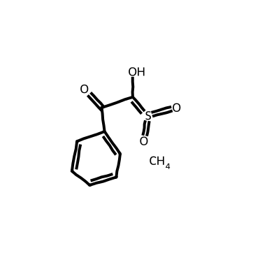 C.O=C(C(O)=S(=O)=O)c1ccccc1